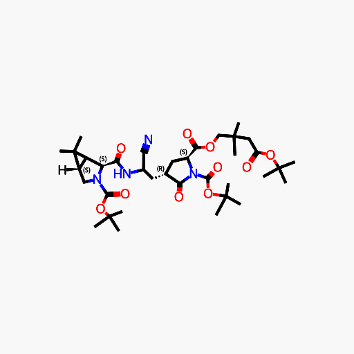 CC(C)(COC(=O)[C@@H]1C[C@@H](CC(C#N)NC(=O)[C@@H]2C3[C@H](CN2C(=O)OC(C)(C)C)C3(C)C)C(=O)N1C(=O)OC(C)(C)C)CC(=O)OC(C)(C)C